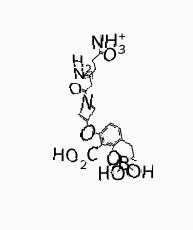 N[C@@H](CCC([NH3+])=O)CC(=O)N1CC(Oc2ccc3c(c2C(=O)O)O[B-](O)(O)CC3)C1